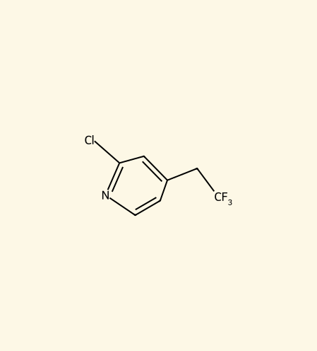 FC(F)(F)Cc1ccnc(Cl)c1